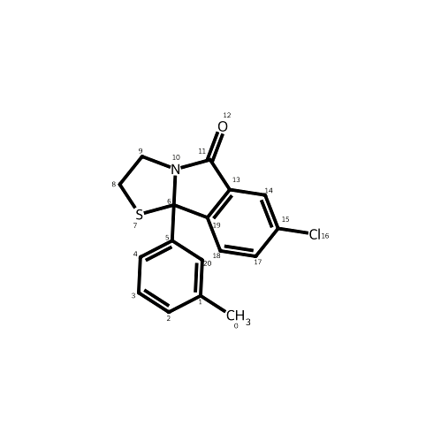 Cc1cccc(C23SCCN2C(=O)c2cc(Cl)ccc23)c1